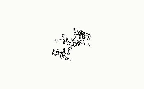 CCC(C)C(NC(=O)OC(C)(C)C)C(=O)OCON=C1c2ccc(S(=O)(=O)N3C[C@H](C)C[C@H](C)C3)cc2C(=NOCOC(=O)C(NC(=O)OC(C)(C)C)C(C)CC)c2cc(S(=O)(=O)N3C[C@H](C)C[C@H](C)C3)ccc21